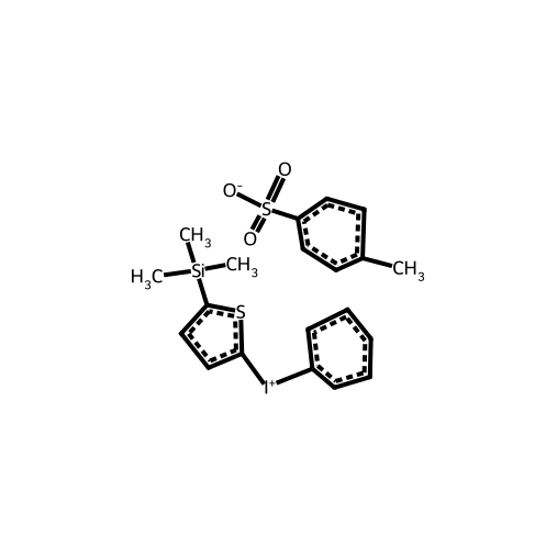 C[Si](C)(C)c1ccc([I+]c2ccccc2)s1.Cc1ccc(S(=O)(=O)[O-])cc1